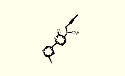 CC#CCN(C(=O)O)c1ccc(-c2cncc(F)c2)nc1C(F)(F)F